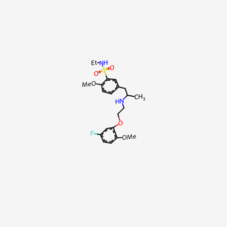 CCNS(=O)(=O)c1cc(CC(C)NCCOc2cc(F)ccc2OC)ccc1OC